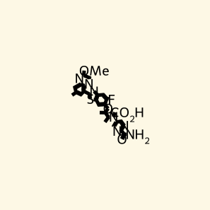 COc1cnc2c(-c3nc4cc(F)c(OC(C)C(C)N(C(=O)O)c5cnc(C(N)=O)nc5)cc4s3)cc(C)cc2n1